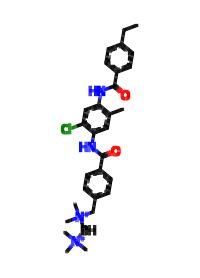 CCc1ccc(C(=O)Nc2cc(Cl)c(NC(=O)c3ccc(C[N+](C)(C)B[N+](C)(C)C)cc3)cc2C)cc1